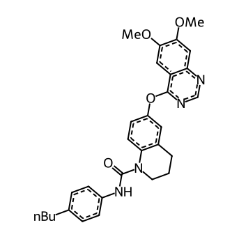 CCCCc1ccc(NC(=O)N2CCCc3cc(Oc4ncnc5cc(OC)c(OC)cc45)ccc32)cc1